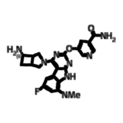 CNc1cc(F)cc2c1[nH]c1nc(Oc3cncc(C(N)=O)c3)nc(N3CC4C[C@@H](N)C4C3)c12